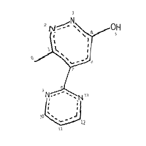 Cc1nnc(O)cc1-c1ncccn1